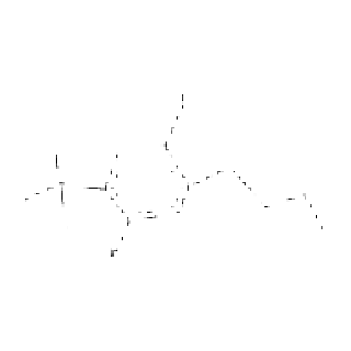 CCCCc1cc(Br)c(C(C)(C)C)cc1O